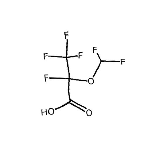 O=C(O)C(F)(OC(F)F)C(F)(F)F